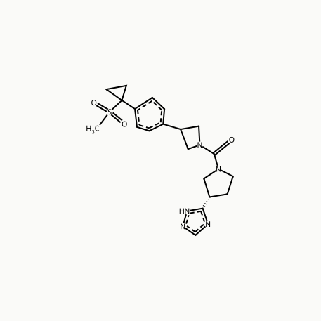 CS(=O)(=O)C1(c2ccc(C3CN(C(=O)N4CC[C@H](c5ncn[nH]5)C4)C3)cc2)CC1